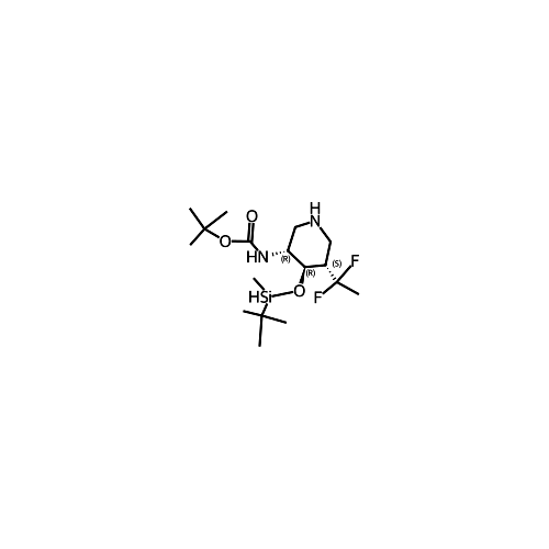 C[SiH](O[C@H]1[C@H](NC(=O)OC(C)(C)C)CNC[C@@H]1C(C)(F)F)C(C)(C)C